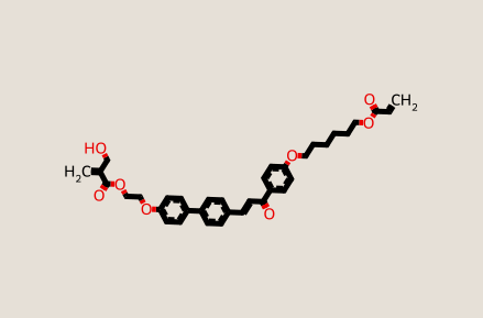 C=CC(=O)OCCCCCCOc1ccc(C(=O)/C=C/c2ccc(-c3ccc(OCCOC(=O)C(=C)CO)cc3)cc2)cc1